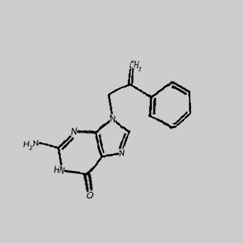 C=C(Cn1cnc2c(=O)[nH]c(N)nc21)c1ccccc1